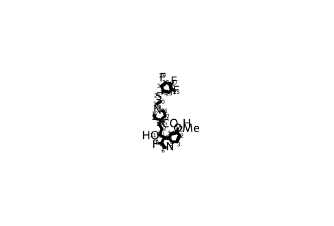 COc1ccc2ncc(F)c([C@H](O)CCC3(C(=O)O)CCN(CCSc4cc(F)c(F)c(F)c4)CC3)c2c1